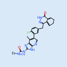 CCNC(=O)Nc1nc2c(C)c(-c3cc(Cc4n[nH]c(=O)c5c4=CCCC=5)ccc3F)cnc2[nH]1